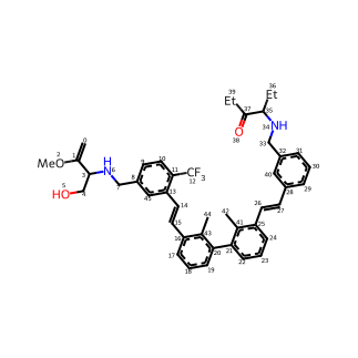 C=C(OC)C(CO)NCc1ccc(C(F)(F)F)c(/C=C/c2cccc(-c3cccc(/C=C/c4cccc(CNC(CC)C(=O)CC)c4)c3C)c2C)c1